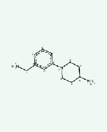 NCc1cccc(N2CCC(N)CC2)c1